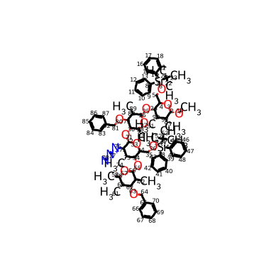 CO[C@H]1OC(CO[Si](c2ccccc2)(c2ccccc2)C(C)(C)C)[C@@H](O[C@@H]2OC(C)[C@@H](O[C@@H]3OC(CO[Si](c4ccccc4)(c4ccccc4)C(C)(C)C)[C@@H](O[C@@H]4OC(C)[C@@H](C)[C@@H](OCc5ccccc5)C4C)[C@H](C)C3N=[N+]=[N-])[C@@H](OCc3ccccc3)C2C)[C@H](C)C1C